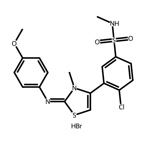 Br.CNS(=O)(=O)c1ccc(Cl)c(-c2csc(=Nc3ccc(OC)cc3)n2C)c1